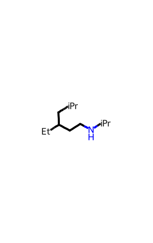 CCC(CCNC(C)C)CC(C)C